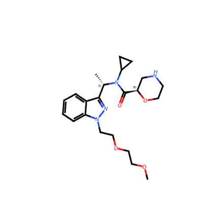 COCCOCCn1nc([C@H](C)N(C(=O)[C@H]2CNCCO2)C2CC2)c2ccccc21